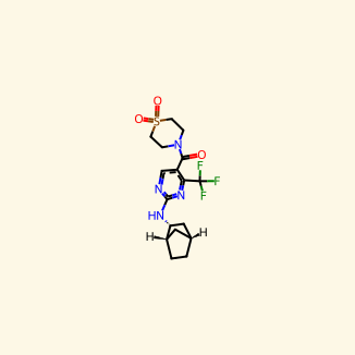 O=C(c1cnc(N[C@@H]2C[C@@H]3CC[C@H]2C3)nc1C(F)(F)F)N1CCS(=O)(=O)CC1